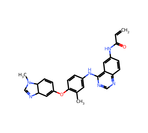 C=CC(=O)Nc1ccc2ncnc(Nc3ccc(OC4=CC5N=CN(C)C5C=C4)c(C)c3)c2c1